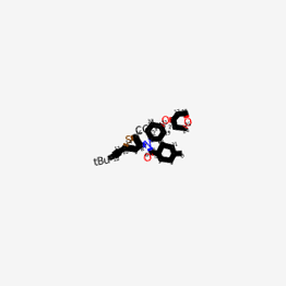 CC1CCC(C(=O)N(c2cc(C#CC(C)(C)C)sc2C(=O)O)C2CCC(OC3CCOCC3)CC2)CC1